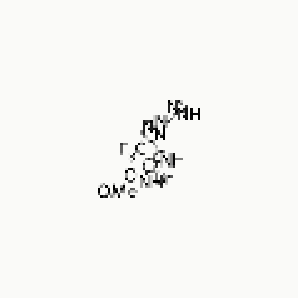 COC(=O)Nc1ccc2c(-c3nc(NCc4ncc[nH]4)ncc3C(F)(F)F)c[nH]c2c1Br